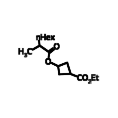 CCCCCCC(C)C(=O)OC1CC(C(=O)OCC)C1